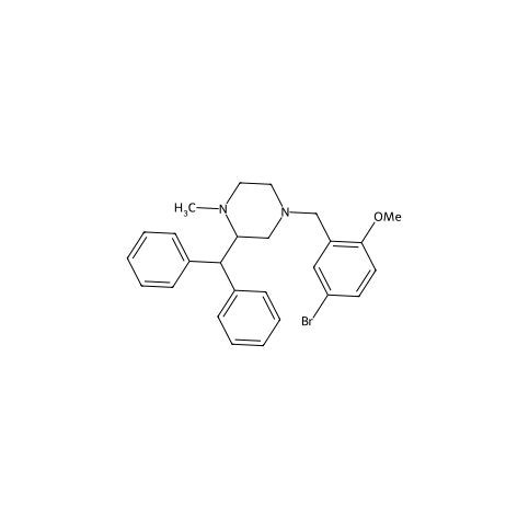 COc1ccc(Br)cc1CN1CCN(C)C(C(c2ccccc2)c2ccccc2)C1